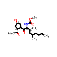 C=CCCC(C)C[C@@H](C)[C@H](NC(=O)OC(C)(C)C)C(=O)C1C[C@H](O)C[C@H]1C(=O)OC